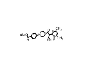 CONc1ccc(N2CCN(C(=O)/C(C=N)=C3\N=C(C)C=C(C)N3)CC2)cc1